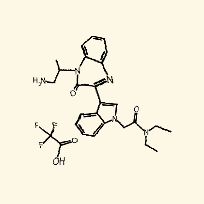 CCN(CC)C(=O)Cn1cc(-c2nc3ccccc3n(C(C)CN)c2=O)c2ccccc21.O=C(O)C(F)(F)F